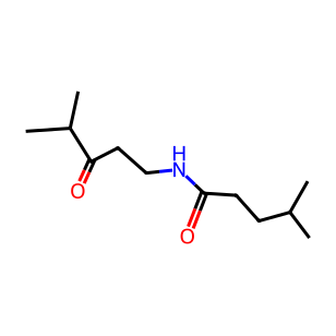 CC(C)CCC(=O)NCCC(=O)C(C)C